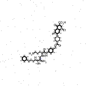 CCn1cc(C(=O)O)c(=O)c2cc(F)c(N3CCN(C(=O)OCc4ccc(NC(=O)[C@H](CCCN)N/C=C(\N)[C@@H](NCOCc5ccccc5)C(C)C)cc4)CC3)cc21